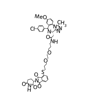 COc1ccc2c(c1)C(c1ccc(Cl)cc1)=N[C@@H](CC(=O)NCCCOCCOCCCSc1cccc3c1C(=O)N(C1CCC(=O)NC1=O)C3=O)c1nnc(C)n1-2